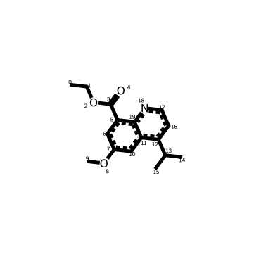 CCOC(=O)c1cc(OC)cc2c(C(C)C)ccnc12